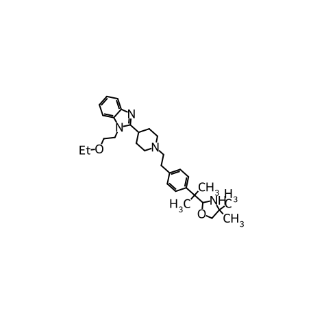 CCOCCn1c(C2CCN(CCc3ccc(C(C)(C)C4NC(C)(C)CO4)cc3)CC2)nc2ccccc21